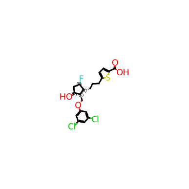 O=C(O)c1ccc(CCC[C@@H]2[C@@H](COc3cc(Cl)cc(Cl)c3)[C@H](O)C[C@H]2F)s1